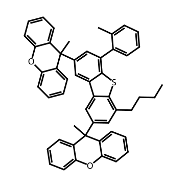 CCCCc1cc(C2(C)c3ccccc3Oc3ccccc32)cc2c1sc1c(-c3ccccc3C)cc(C3(C)c4ccccc4Oc4ccccc43)cc12